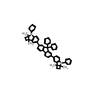 CC12CCC1(C)N(c1ccccc1)c1ccc(-c3ccc4c(c3)C(c3ccccc3)(c3ccccc3)c3cc(-c5ccc6c(c5)C5(C)CCC5(C)N6c5ccccc5)ccc3-4)cc12